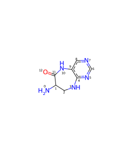 NC1CNc2ncncc2NC1=O